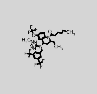 CCCCCC(=O)N1c2ccc(OC(F)(F)F)cc2C(N(Cc2cc(C(F)(F)F)cc(C(F)(F)F)c2)c2nnn(C)n2)CC1CC